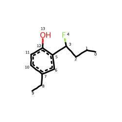 CCCC(F)c1cc(CC)ccc1O